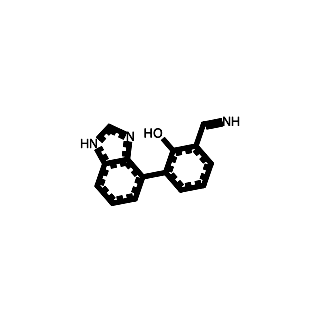 N=Cc1cccc(-c2cccc3[nH]cnc23)c1O